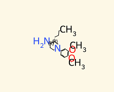 CCCC[C@@H]1CN(c2ccc(OC)c(OC)c2)CC[C@H]1N